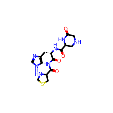 O=C1CNCC(C(=O)N[C@@H](Cc2c[nH]cn2)C(=O)NC(=O)C2CSCN2)N1